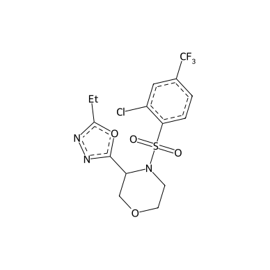 CCc1nnc(C2COCCN2S(=O)(=O)c2ccc(C(F)(F)F)cc2Cl)o1